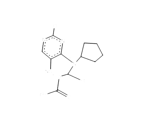 CCCC(=O)OC(CC)N(c1nc(Cl)ncc1[N+](=O)[O-])C1CCCC1